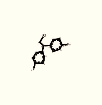 Fc1ccc(C(CCl)c2ccc(F)cc2)cc1